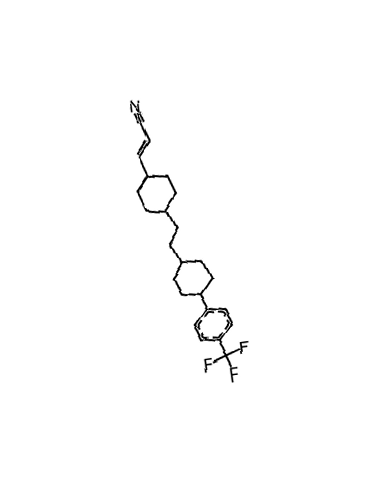 N#CC=CC1CCC(CCC2CCC(c3ccc(C(F)(F)F)cc3)CC2)CC1